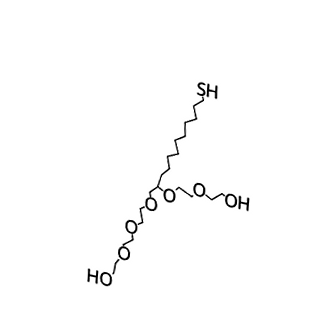 OCCOCCOCCOCC(CCCCCCCCCCS)OCCOCCO